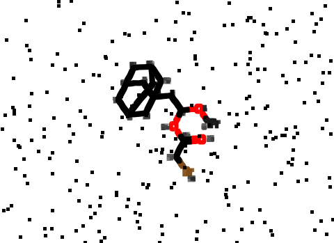 CC(C)OC(CC12CC3CC(CC(C3)C1)C2)OC(=O)CBr